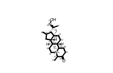 CC(=NO)[C@H]1C(C)C[C@H]2[C@@H]3CCN4C(C)C(=O)CC[C@]4(C)[C@H]3CC[C@]12C